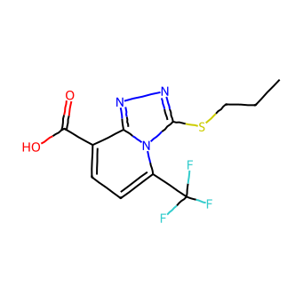 CCCSc1nnc2c(C(=O)O)ccc(C(F)(F)F)n12